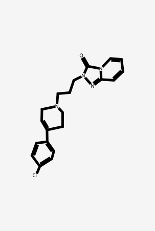 O=c1n(CCCN2CC=C(c3ccc(Cl)cc3)CC2)nc2ccccn12